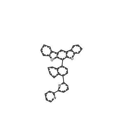 c1ccc(-c2cccc(-c3ccc(-c4c5oc6ccccc6c5cc5c4oc4ccccc45)c4ccccc34)n2)nc1